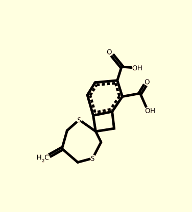 C=C1CSCC2(Cc3c2ccc(C(=O)O)c3C(=O)O)SC1